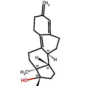 C=C1C=C2CC[C@@H]3C(=C2CC1)CC[C@@]1(C)[C@H]3CC[C@@]1(O)C(C)C